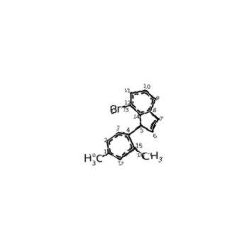 Cc1ccc(C2C=Cc3cccc(Br)c32)c(C)c1